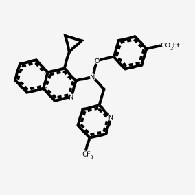 CCOC(=O)c1ccc(ON(Cc2ccc(C(F)(F)F)cn2)c2ncc3ccccc3c2C2CC2)cc1